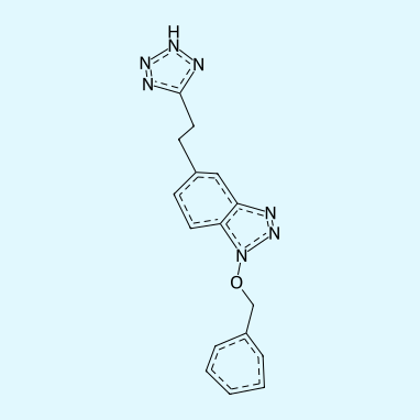 c1ccc(COn2nnc3cc(CCc4nn[nH]n4)ccc32)cc1